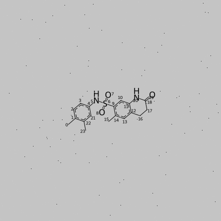 Cc1ccc(NS(=O)(=O)c2cc3c(cc2C)CCC(=O)N3)cc1C